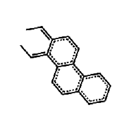 C/C=c1/ccc2c(ccc3ccccc32)/c1=C/C